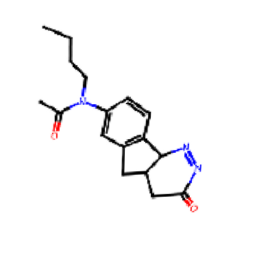 CCCCN(C(C)=O)c1ccc2c(c1)CC1CC(=O)N=NC21